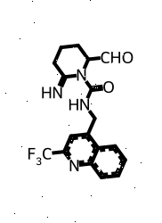 N=C1CCCC(C=O)N1C(=O)NCc1cc(C(F)(F)F)nc2ccccc12